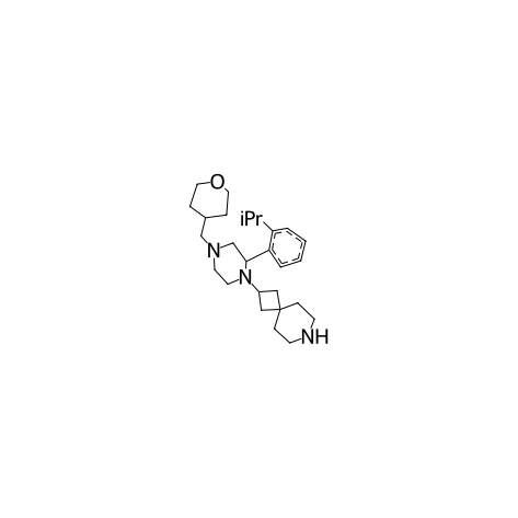 CC(C)c1ccccc1C1CN(CC2CCOCC2)CCN1C1CC2(CCNCC2)C1